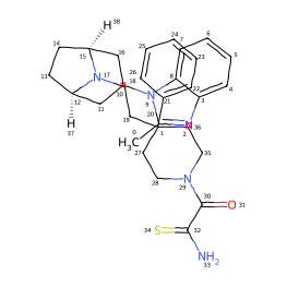 Cc1nc2ccccc2n1C1C[C@H]2CC[C@@H](C1)N2CCC1(c2ccccc2)CCN(C(=O)C(N)=S)CC1